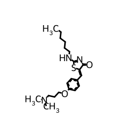 CCCCCCNC1=NC(=O)/C(=C/c2ccc(OCCCN(C)C)cc2)S1